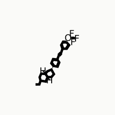 CCC1CC[C@@H]2C[C@H](c3ccc(C#Cc4ccc(OC(F)(F)F)cc4)cc3)CC[C@@H]2C1